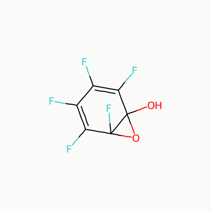 OC12OC1(F)C(F)=C(F)C(F)=C2F